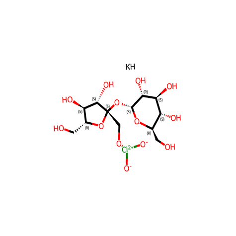 [KH].[O-][Cl+2]([O-])OC[C@@]1(O[C@H]2O[C@H](CO)[C@@H](O)[C@H](O)[C@H]2O)O[C@H](CO)[C@@H](O)[C@@H]1O